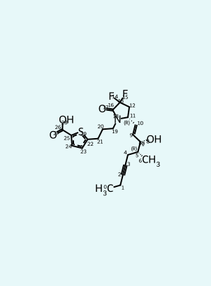 CCC#CC[C@@H](C)[C@@H](O)C=C[C@H]1CC(F)(F)C(=O)N1CCCc1ccc(C(=O)O)s1